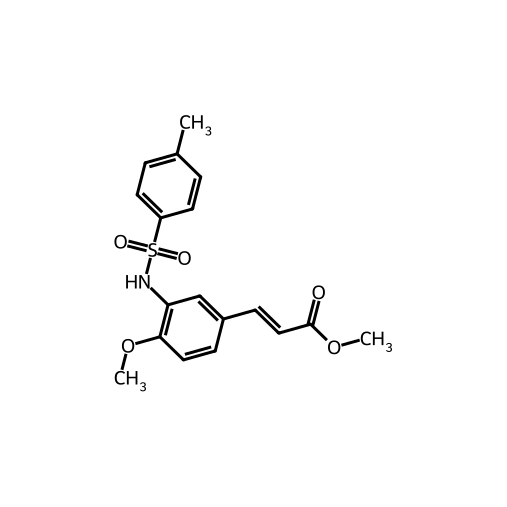 COC(=O)C=Cc1ccc(OC)c(NS(=O)(=O)c2ccc(C)cc2)c1